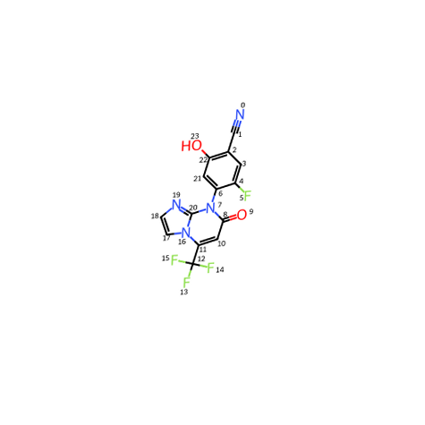 N#Cc1cc(F)c(-n2c(=O)cc(C(F)(F)F)n3ccnc23)cc1O